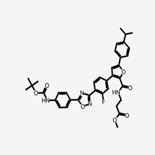 COC(=O)CCNC(=O)c1oc(-c2ccc(C(C)C)cc2)cc1-c1ccc(-c2noc(-c3ccc(NC(=O)OC(C)(C)C)cc3)n2)c(F)c1